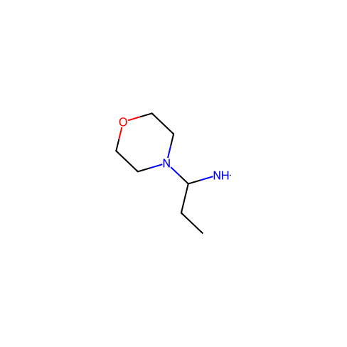 CCC([NH])N1CCOCC1